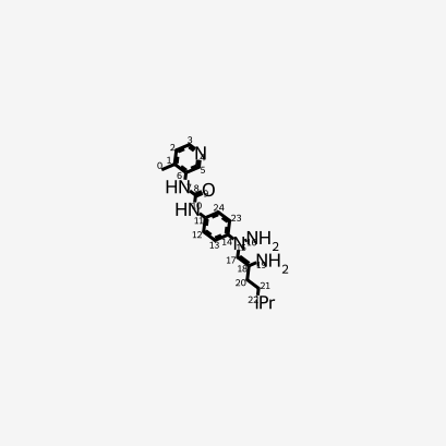 Cc1ccncc1NC(=O)Nc1ccc(N(N)/C=C(\N)CCC(C)C)cc1